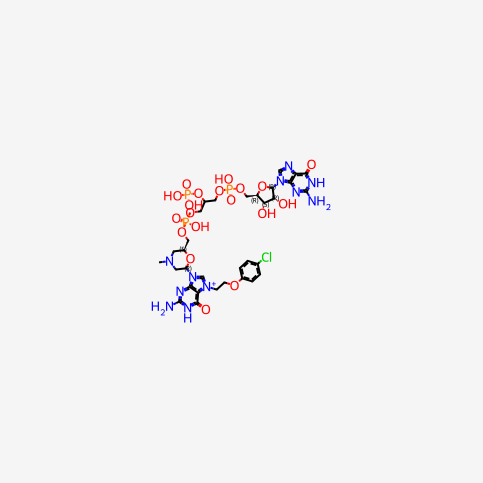 CN1C[C@@H](COP(=O)(O)OCC(COP(=O)(O)OC[C@H]2O[C@@H](n3cnc4c(=O)[nH]c(N)nc43)[C@H](O)[C@@H]2O)OP(=O)(O)O)O[C@@H](n2c[n+](CCOc3ccc(Cl)cc3)c3c(=O)[nH]c(N)nc32)C1